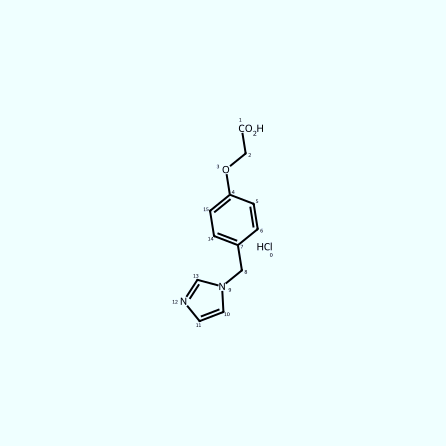 Cl.O=C(O)COc1ccc(Cn2ccnc2)cc1